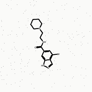 O=C(NCCN1CCCCC1)c1cc(Br)c2cn[nH]c2c1